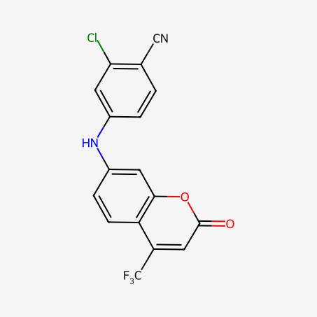 N#Cc1ccc(Nc2ccc3c(C(F)(F)F)cc(=O)oc3c2)cc1Cl